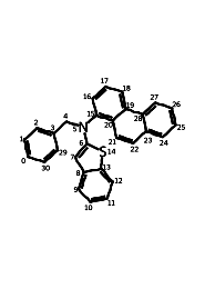 c1ccc(CN(c2cc3ccccc3s2)c2cccc3c2ccc2ccccc23)cc1